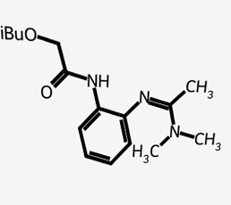 CC(=Nc1ccccc1NC(=O)COCC(C)C)N(C)C